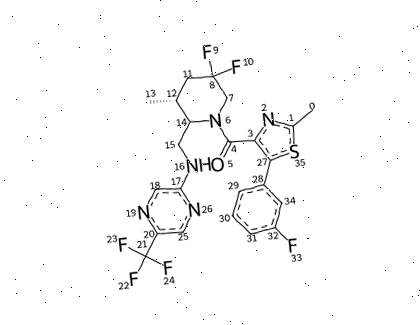 Cc1nc(C(=O)N2CC(F)(F)C[C@@H](C)C2CNc2cnc(C(F)(F)F)cn2)c(-c2cccc(F)c2)s1